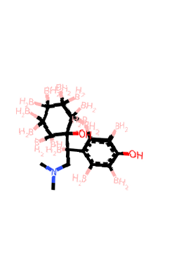 Bc1c(B)c(C(B)(CN(C)C)C2(O)C(B)(B)C(B)(B)C(B)(B)C(B)(B)C2(B)B)c(B)c(B)c1O